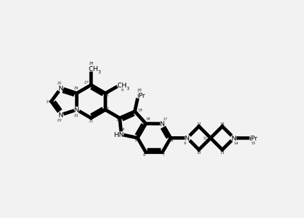 Cc1c(-c2[nH]c3ccc(N4CC5(C4)CN(C(C)C)C5)nc3c2C(C)C)cn2ncnc2c1C